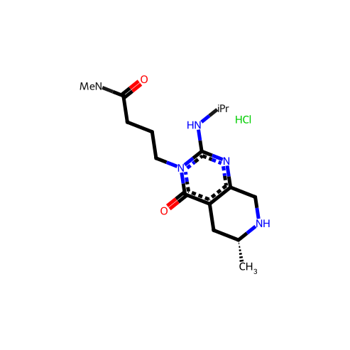 CNC(=O)CCCn1c(NC(C)C)nc2c(c1=O)C[C@@H](C)NC2.Cl